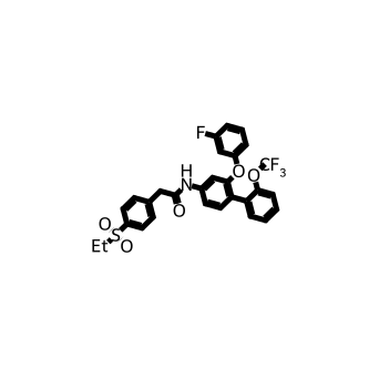 CCS(=O)(=O)c1ccc(CC(=O)Nc2ccc(-c3ccccc3OC(F)(F)F)c(Oc3cccc(F)c3)c2)cc1